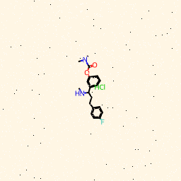 CNC(CCc1ccc(F)cc1)c1cccc(OC(=O)N(C)C)c1.Cl